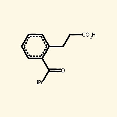 CC(C)C(=O)c1ccccc1CCC(=O)O